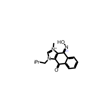 CC(C)Cn1c[n+](C)c2c1C(=O)c1ccccc1/C2=N/O